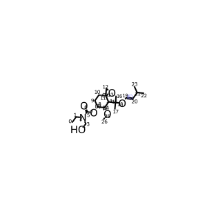 CCN(CO)C(=O)O[C@@H]1CC[C@]2(CO2)C(C(C)(C)O/C=C/C(C)C)[C@@H]1OC